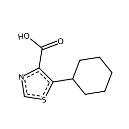 O=C(O)c1ncsc1C1CCCCC1